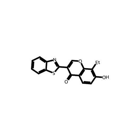 CCc1c(O)ccc2c(=O)c(-c3nc4ccccc4s3)coc12